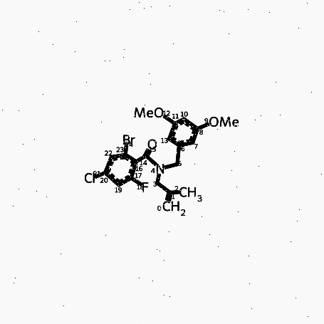 C=C(C)CN(Cc1cc(OC)cc(OC)c1)C(=O)c1c(F)cc(Cl)cc1Br